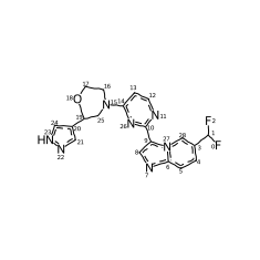 FC(F)c1ccc2ncc(-c3nccc(N4CCOC(c5cn[nH]c5)C4)n3)n2c1